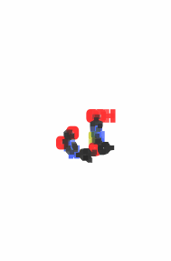 Cc1ccc(OCc2ccc(CN3CCN(C(=O)C4CCOC4)CC3)cc2C)c(-c2csc(N3CCC(C(=O)O)CC3)n2)c1